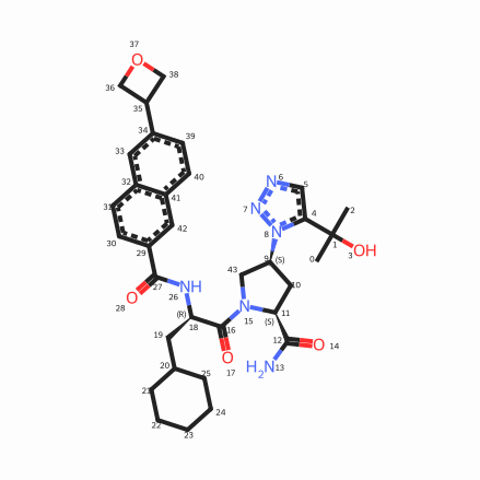 CC(C)(O)c1cnnn1[C@H]1C[C@@H](C(N)=O)N(C(=O)[C@@H](CC2CCCCC2)NC(=O)c2ccc3cc(C4COC4)ccc3c2)C1